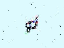 COC1CN(C(=O)NS2(=O)=NC(=O)c3ccc4c(c3)N(Cc3ccc(Cl)cc3CCCCO4)C[C@@H]3CC[C@H]3[C@@H](OC)C3=CC[C@@H]3C2)C1